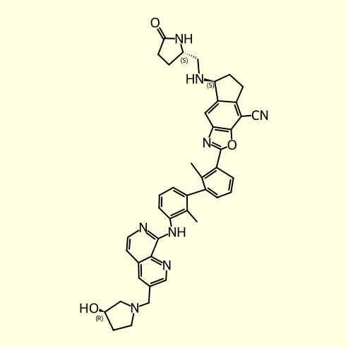 Cc1c(Nc2nccc3cc(CN4CC[C@@H](O)C4)cnc23)cccc1-c1cccc(-c2nc3cc4c(c(C#N)c3o2)CC[C@@H]4NC[C@@H]2CCC(=O)N2)c1C